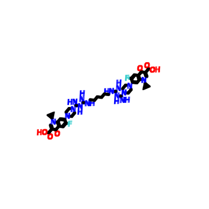 N=C(NCCCCCCNC(=N)NC(=N)N1CCN(c2cc3c(cc2F)c(=O)c(C(=O)O)cn3C2CC2)CC1)NC(=N)N1CCN(c2cc3c(cc2F)c(=O)c(C(=O)O)cn3C2CC2)CC1